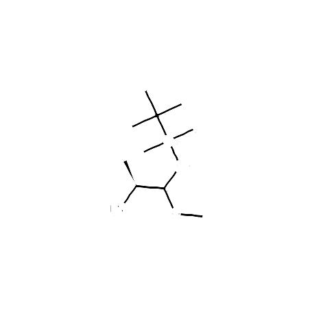 COC(O[Si](C)(C)C(C)(C)C)[C@H](C)N